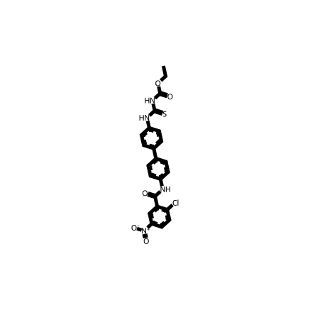 CCOC(=O)NC(=S)Nc1ccc(-c2ccc(NC(=O)c3cc([N+](=O)[O-])ccc3Cl)cc2)cc1